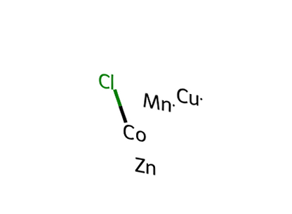 [Cl][Co].[Cu].[Mn].[Zn]